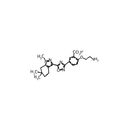 Cn1nc(-c2nc(-c3ccc(OCCN)c(C(=O)O)c3)no2)c2c1CC(C)(C)CC2